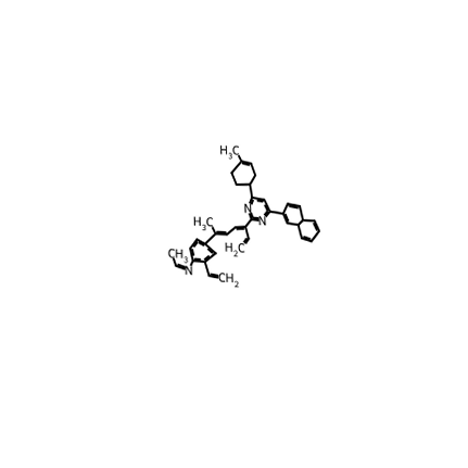 C=C/C(=C\C=C(/C)c1ccc(/N=C\C)c(C=C)c1)c1nc(C2=CC3C=CC=CC3C=C2)cc(C2CC=C(C)CC2)n1